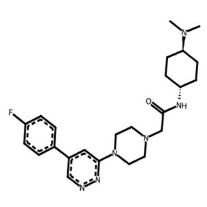 CN(C)[C@H]1CC[C@H](NC(=O)CN2CCN(c3cc(-c4ccc(F)cc4)cnn3)CC2)CC1